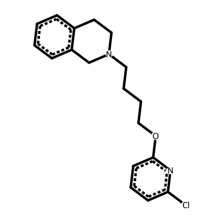 Clc1cccc(OCCCCN2CCc3ccccc3C2)n1